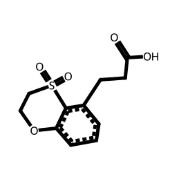 O=C(O)CCc1cccc2c1S(=O)(=O)CCO2